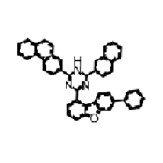 c1ccc(-c2ccc3c(c2)oc2cccc(C4=NC(c5ccc6ccccc6c5)NC(c5ccc6c(ccc7ccccc76)c5)=N4)c23)cc1